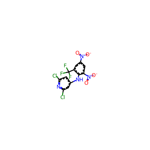 O=[N+]([O-])c1cc([N+](=O)[O-])c(Nc2cc(Cl)nc(Cl)c2)c(C(F)(F)F)c1